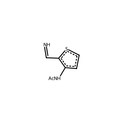 CC(=O)Nc1ccsc1C=N